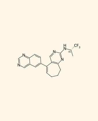 C[C@H](Nc1ncc2c(n1)CCCC=C2c1ccc2ncncc2c1)C(F)(F)F